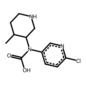 CC1CCNCC1N(C(=O)O)c1ccc(Cl)nc1